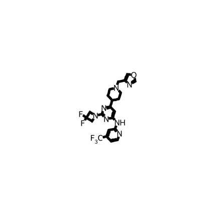 FC1(F)CN(c2nc(Nc3cc(C(F)(F)F)ccn3)cc(C3CCN(Cc4cocn4)CC3)n2)C1